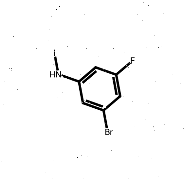 Fc1cc(Br)cc(NI)c1